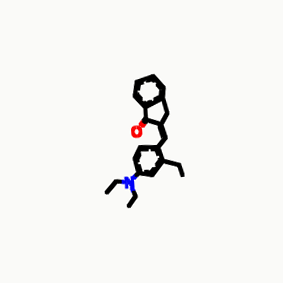 CCc1cc(N(CC)CC)ccc1C=C1Cc2ccccc2C1=O